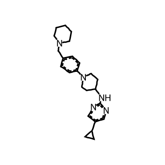 c1cc(N2CCC(Nc3ncc(C4CC4)cn3)CC2)ccc1CN1CCCCC1